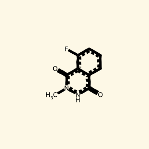 Cn1[nH]c(=O)c2cccc(F)c2c1=O